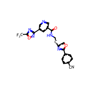 N#Cc1ccc(-c2nc(CCNC(=O)c3cncc(-c4noc(C(F)(F)F)n4)c3)co2)cc1